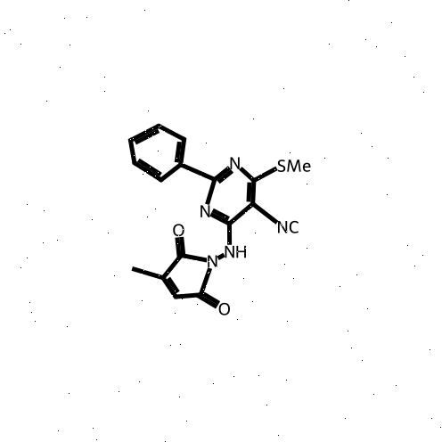 [C-]#[N+]c1c(NN2C(=O)C=C(C)C2=O)nc(-c2ccccc2)nc1SC